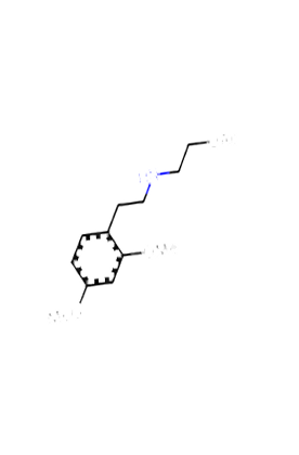 COc1ccc(CCNCCOC(C)=O)c(OC)c1